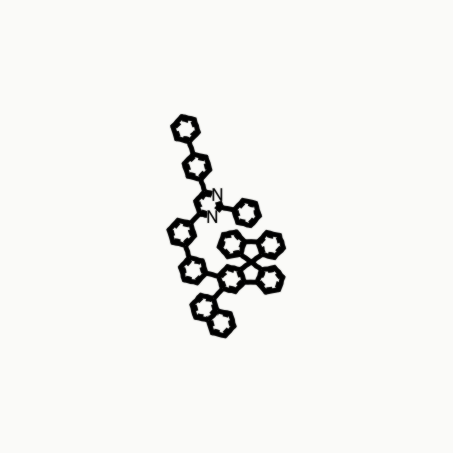 c1ccc(-c2ccc(-c3cc(-c4cccc(-c5cccc(-c6cc7c(cc6-c6cccc8ccccc68)-c6ccccc6C76c7ccccc7-c7ccccc76)c5)c4)nc(-c4ccccc4)n3)cc2)cc1